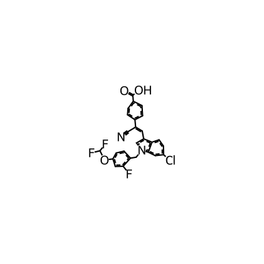 N#CC(=Cc1cn(Cc2ccc(OC(F)F)cc2F)c2cc(Cl)ccc12)c1ccc(C(=O)O)cc1